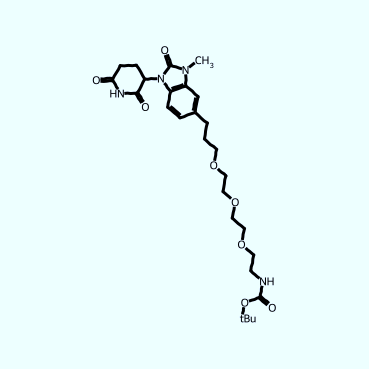 Cn1c(=O)n(C2CCC(=O)NC2=O)c2ccc(CCCOCCOCCOCCNC(=O)OC(C)(C)C)cc21